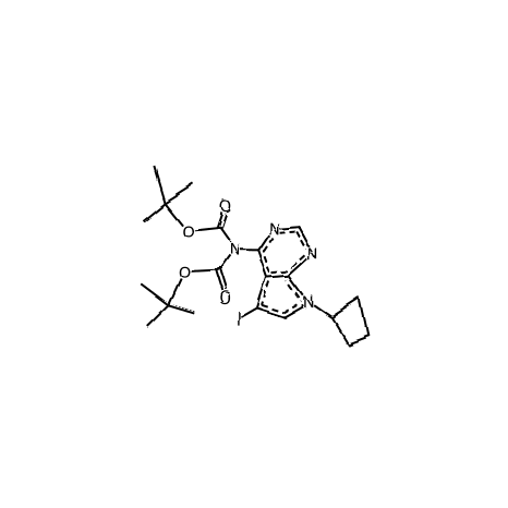 CC(C)(C)OC(=O)N(C(=O)OC(C)(C)C)c1ncnc2c1c(I)cn2C1CCC1